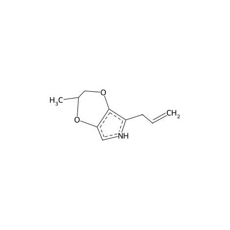 C=CCc1[nH]cc2c1OCC(C)O2